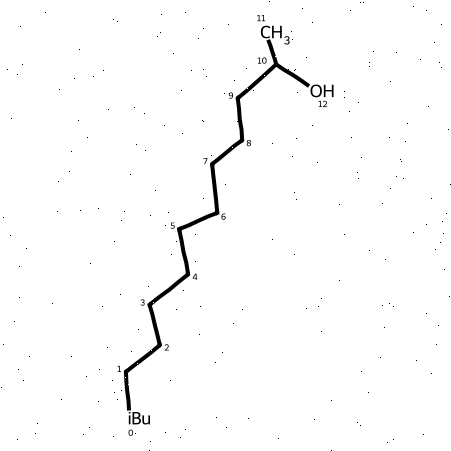 CCC(C)CCCCCCCCCC(C)O